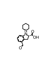 O=Cc1cccc2c1C[C@H](C(=O)O)N2N1CCCCC1